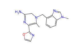 CC1=C(c2ncco2)N=C(N)CN1Cc1cccc2c1ncn2C